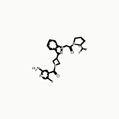 Nc1cc(C(=O)N2CC(c3nn(CC(=O)N4CCC[C@H]4C(F)F)c4ccccc34)C2)c(F)cn1